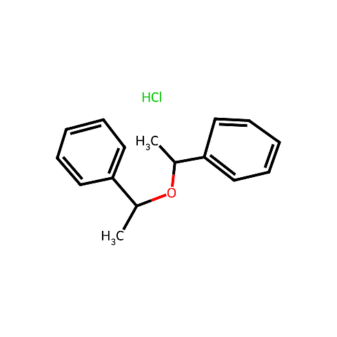 CC(OC(C)c1ccccc1)c1ccccc1.Cl